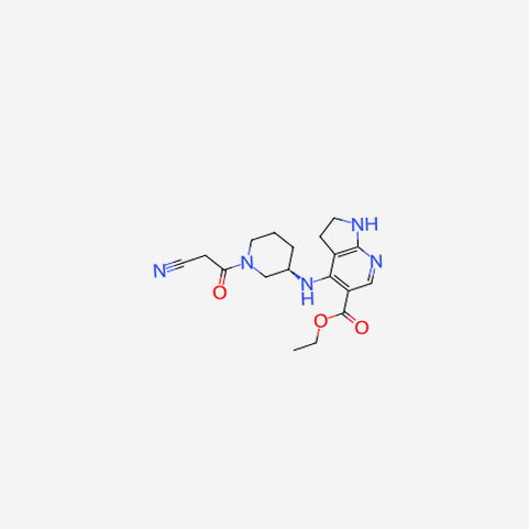 CCOC(=O)c1cnc2c(c1N[C@@H]1CCCN(C(=O)CC#N)C1)CCN2